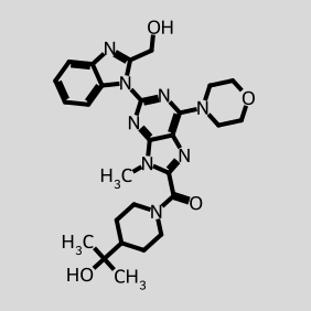 Cn1c(C(=O)N2CCC(C(C)(C)O)CC2)nc2c(N3CCOCC3)nc(-n3c(CO)nc4ccccc43)nc21